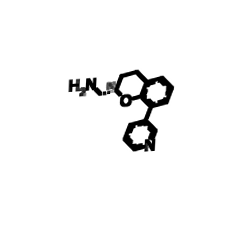 NC[C@@H]1CCc2cccc(-c3cccnc3)c2O1